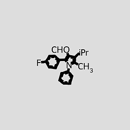 Cc1c(C(C)C)c(C=O)c(-c2ccc(F)cc2)n1-c1ccccc1